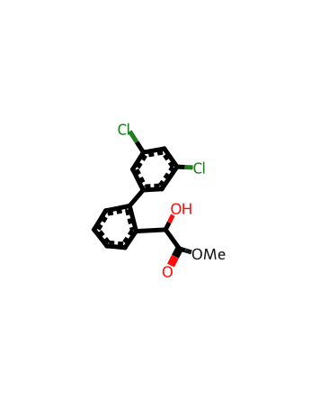 COC(=O)C(O)c1ccccc1-c1cc(Cl)cc(Cl)c1